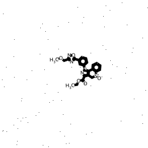 CCOC(=O)c1nn(-c2cccc(-c3nc(COC)no3)c2)c2c1C[S+]([O-])c1ccccc1-2